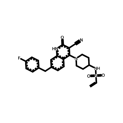 C=CS(=O)(=O)NC1CCN(c2c(C#N)c(=O)[nH]c3cc(Cc4ccc(F)cc4)ccc23)CC1